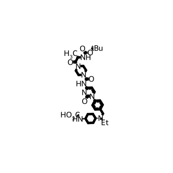 CCN(Cc1ccc(-n2ccc(NC(=O)N3CCN(C(=O)C(C)NC(=O)OC(C)(C)C)CC3)nc2=O)cc1)[C@H]1CC[C@H](NC(=O)O)CC1